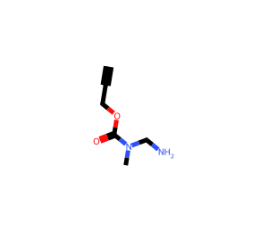 C#CCOC(=O)N(C)CN